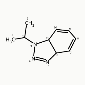 CC(C)N1N=NC2C=CC=CC21